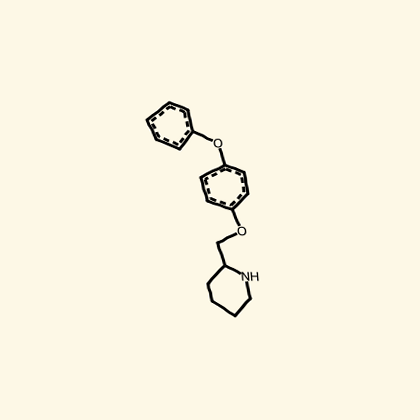 c1ccc(Oc2ccc(OCC3CCCCN3)cc2)cc1